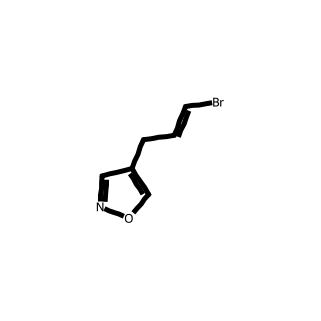 BrC=CCc1cnoc1